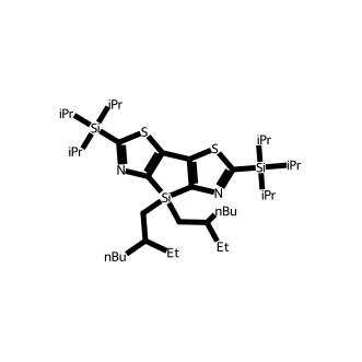 CCCCC(CC)C[Si]1(CC(CC)CCCC)c2nc([Si](C(C)C)(C(C)C)C(C)C)sc2-c2sc([Si](C(C)C)(C(C)C)C(C)C)nc21